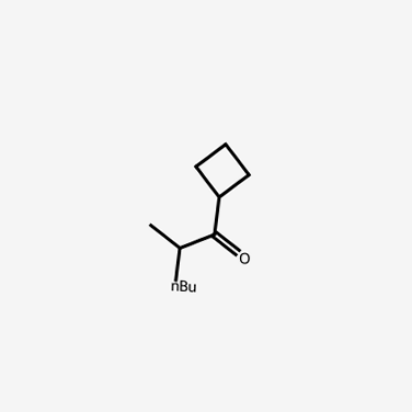 CCCCC(C)C(=O)C1CCC1